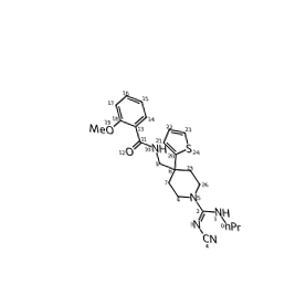 CCCN/C(=N\C#N)N1CCC(CNC(=O)c2ccccc2OC)(c2cccs2)CC1